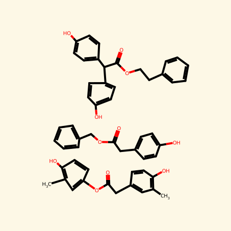 Cc1cc(CC(=O)Oc2ccc(O)c(C)c2)ccc1O.O=C(Cc1ccc(O)cc1)OCc1ccccc1.O=C(OCCc1ccccc1)C(c1ccc(O)cc1)c1ccc(O)cc1